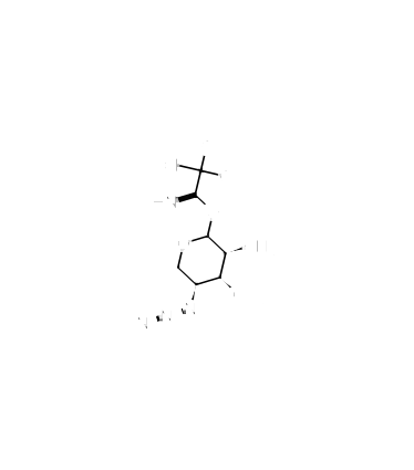 C[C@H]1[C@@H](N=[N+]=[N-])COC(OC(=N)C(Cl)(Cl)Cl)[C@H]1C